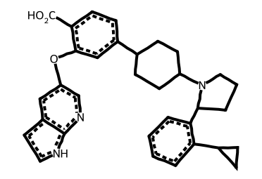 O=C(O)c1ccc(C2CCC(N3CCCC3c3ccccc3C3CC3)CC2)cc1Oc1cnc2[nH]ccc2c1